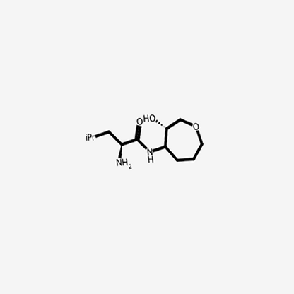 CC(C)C[C@H](N)C(=O)NC1CCCOC[C@H]1O